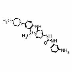 COc1cc(N2CCN(C)CC2)ccc1Nc1nccc(NC(=O)Nc2cccc(N)c2)n1